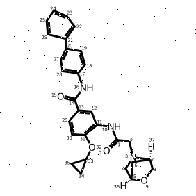 O=C(CN1C[C@H]2C[C@@H]1CO2)Nc1cc(C(=O)Nc2ccc(-c3ccccc3)cc2)ccc1OC1CC1